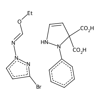 CCOC=Nn1ccc(Br)n1.O=C(O)C1(C(=O)O)C=CNN1c1ccccc1